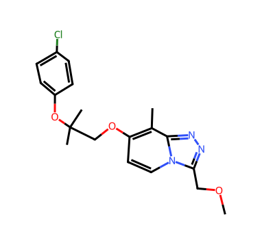 COCc1nnc2c(C)c(OCC(C)(C)Oc3ccc(Cl)cc3)ccn12